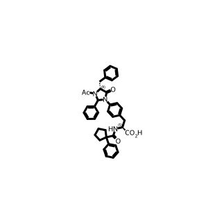 CC(=O)N1C(c2ccccc2)N(c2ccc(C[C@H](NC(=O)C3(c4ccccc4)CCCC3)C(=O)O)cc2)C(=O)[C@H]1Cc1ccccc1